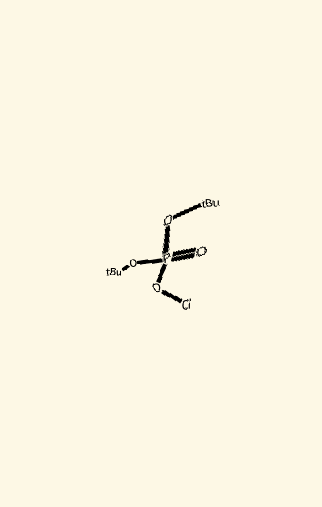 CC(C)(C)OP(=O)(OCl)OC(C)(C)C